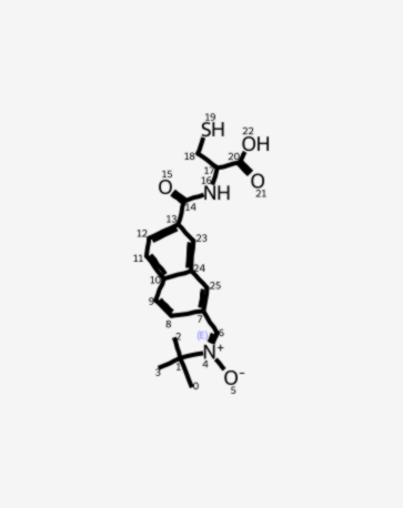 CC(C)(C)/[N+]([O-])=C\c1ccc2ccc(C(=O)NC(CS)C(=O)O)cc2c1